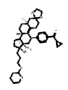 C[C@]12C[C@H](c3ccc(C(=O)C4CC4)cc3)C3=C4CCC5(C[C@]4(O)CC[C@H]3[C@@H]1CC[C@@]2(O)CCCOC1CCCCO1)OCCO5